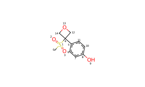 CS(=O)(=O)C1(c2ccc(O)cc2)COC1